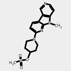 Cn1c2ccncc2c2ccc(N3CCC(OS(C)(=O)=O)CC3)nc21